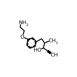 C#CC(O)C(C)Cc1cccc(OCCN)c1